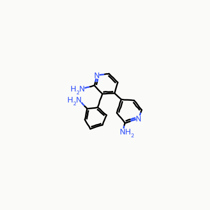 Nc1cc(-c2ccnc(N)c2-c2ccccc2N)ccn1